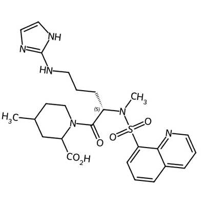 CC1CCN(C(=O)[C@H](CCCNc2ncc[nH]2)N(C)S(=O)(=O)c2cccc3cccnc23)C(C(=O)O)C1